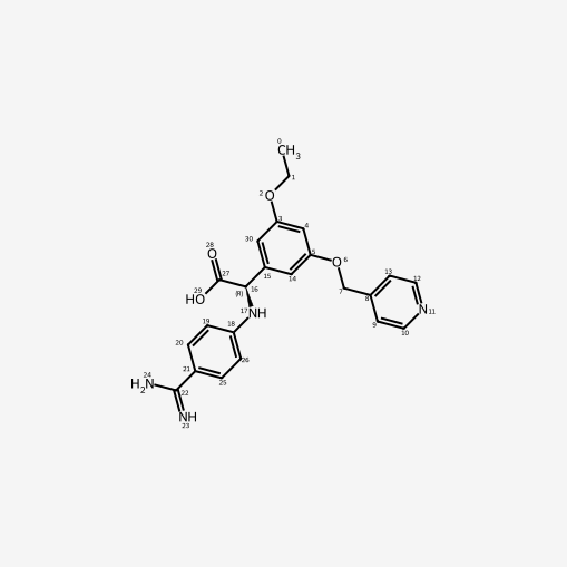 CCOc1cc(OCc2ccncc2)cc([C@@H](Nc2ccc(C(=N)N)cc2)C(=O)O)c1